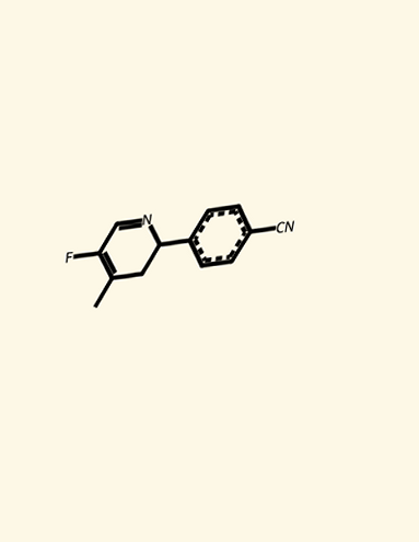 CC1=C(F)C=NC(c2ccc(C#N)cc2)C1